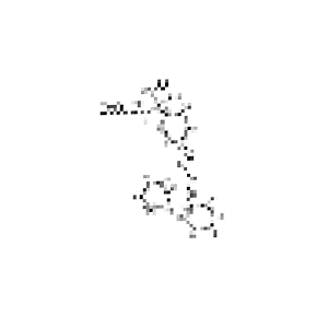 CCOC(=O)CC1(c2ccc(OCCC(c3ccccc3)c3cccnc3)cc2)COC1